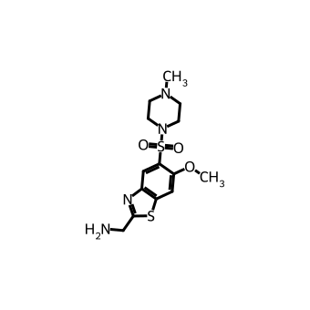 COc1cc2sc(CN)nc2cc1S(=O)(=O)N1CCN(C)CC1